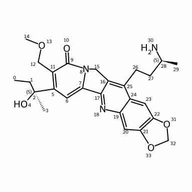 CC[C@](C)(O)c1cc2n(c(=O)c1COC)Cc1c-2nc2cc3c(cc2c1CC[C@H](C)N)OCO3